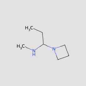 CCC(NC)N1CCC1